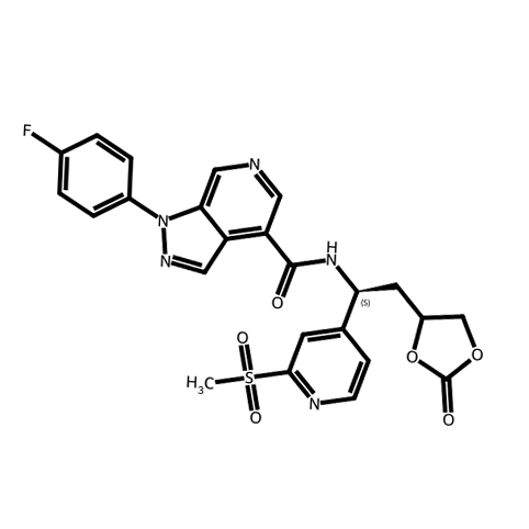 CS(=O)(=O)c1cc([C@H](CC2COC(=O)O2)NC(=O)c2cncc3c2cnn3-c2ccc(F)cc2)ccn1